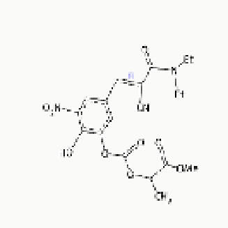 CCN(CC)C(=O)/C(C#N)=C/c1cc(OC(=O)OC(C)C(=O)OC)c(O)c([N+](=O)[O-])c1